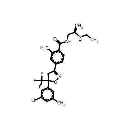 C=C(CNC(=O)c1ccc(C2=NOC(c3cc(C)cc(Cl)c3)(C(F)(F)F)C2)cc1C)NCC